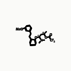 COc1cccc(CCc2ccccc2O[C@@H](C[C@@H](C)OC(=O)C(F)(F)F)N(C)C)c1